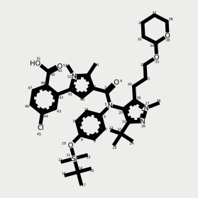 Cc1c(C(=O)N(c2ccc(O[Si](C)(C)C(C)(C)C)cc2)c2c(C(C)(C)C)nn(C)c2CCCOC2CCCCO2)cc(-c2cc(Cl)ccc2C(=O)O)n1C